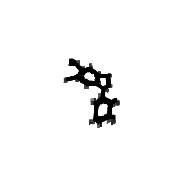 Cc1cc2c(cc1Br)C=CC2c1cccc(C)c1C